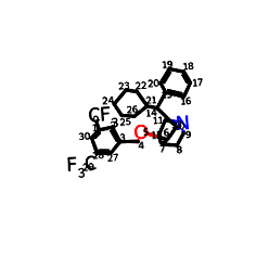 FC(F)(F)c1cc(COC2C3CCN(CC3)C2C(c2ccccc2)C2CCCCC2)cc(C(F)(F)F)c1